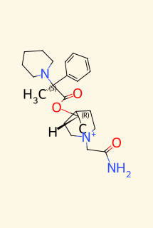 C[C@@](C(=O)O[C@H]1C[N+]2(CC(N)=O)CCC1CC2)(c1ccccc1)N1CCCCC1